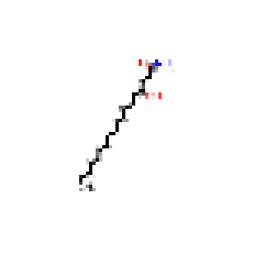 CCCCCCCCCCCCCCC(O)CCC(N)=O